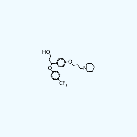 OCCC(Oc1ccc(C(F)(F)F)cc1)c1ccc(OCCCN2CCCCC2)cc1